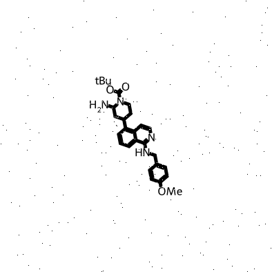 COc1ccc(CNc2nccc3c(C4CCN(C(=O)OC(C)(C)C)C(N)C4)cccc23)cc1